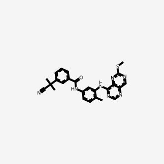 CSc1ncc2ncnc(Nc3cc(NC(=O)c4cccc(C(C)(C)C#N)c4)ccc3C)c2n1